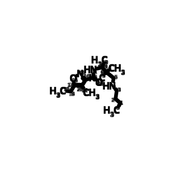 CCCCNCC(C)(C)C(C)NC(=O)c1noc(CC)c1C